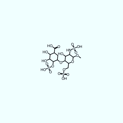 COC1OC(COS(=O)(=O)O)C(OC2CC(C(=O)O)C(O)C(O)C2OS(=O)(=O)O)C(O)C1NS(=O)(=O)O